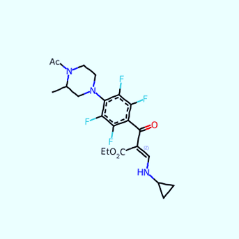 CCOC(=O)/C(=C\NC1CC1)C(=O)c1c(F)c(F)c(N2CCN(C(C)=O)C(C)C2)c(F)c1F